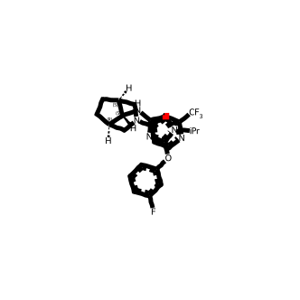 CC(C)n1nc(N[C@@H]2[C@@H]3CC[C@H]2CN(c2ccnc(C(F)(F)F)c2)C3)nc1Oc1cccc(F)c1